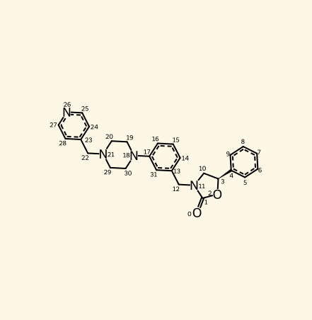 O=C1O[C@H](c2ccccc2)CN1Cc1cccc(N2CCN(Cc3ccncc3)CC2)c1